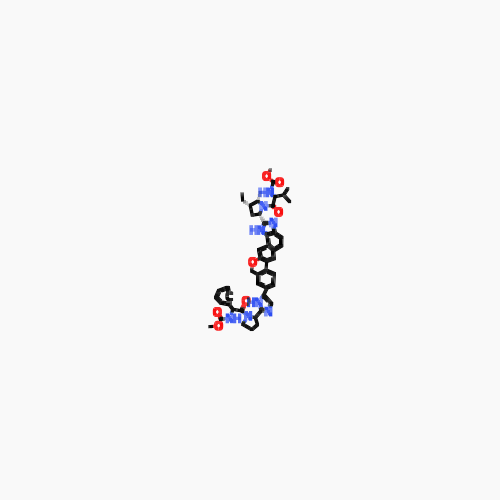 CC[C@H]1C[C@@H](c2nc3ccc4cc5c(cc4c3[nH]2)OCc2cc(-c3cnc(C4CCCN4C(=O)C(NC(=O)OC)c4ccccc4)[nH]3)ccc2-5)N(C(=O)[C@@H](NC(=O)OC)C(C)C)[C@H]1C